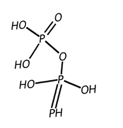 O=P(O)(O)OP(O)(O)=P